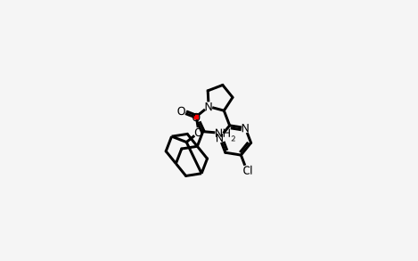 NC(=O)C12CC3CC(C1)C(OC(=O)N1CCCC1c1ncc(Cl)cn1)C(C3)C2